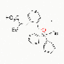 CCC(=Cc1ccccc1CO[Si](c1ccccc1)(c1ccccc1)C(C)(C)C)C(=O)O